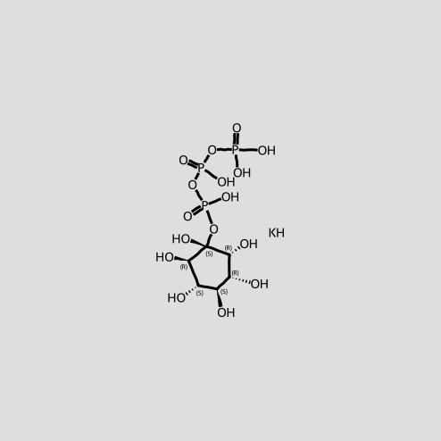 O=P(O)(O)OP(=O)(O)OP(=O)(O)O[C@]1(O)[C@H](O)[C@H](O)[C@@H](O)[C@H](O)[C@H]1O.[KH]